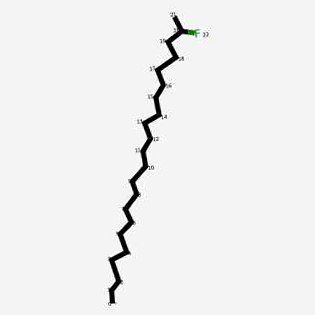 [CH2]CCCCCCCCCCCCCCCCCCCC(C)F